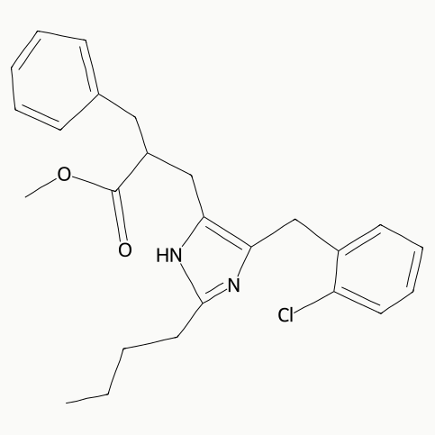 CCCCc1nc(Cc2ccccc2Cl)c(CC(Cc2ccccc2)C(=O)OC)[nH]1